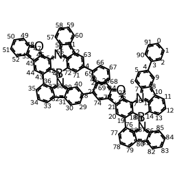 c1ccc(-c2ccc3c(c2)c2cccc4c2n3-c2c3c(cc5c2oc2ccc(-c6ccc7c8cccc9c8n(c7c6)B6c7c-9cc8c(oc9ccccc98)c7-n7c8ccccc8c8cc(-c9ccccc9)cc6c87)cc25)-c2cccc5c6ccccc6n(c25)B34)cc1